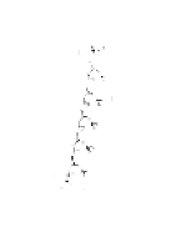 CC(C)(C)OCC(COCC(COCC(COCC(COCC(COC(C)(C)C)OC(C)(C)C)OC(C)(C)C)OC(C)(C)C)OC(C)(C)C)OC(C)(C)C